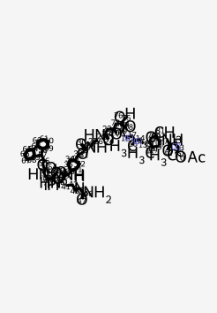 CC(=O)O[C@@H](C)/C=C\C(=O)N[C@@H]1C[C@H](C)[C@H](C/C=C(C)/C=C/[C@H]2OC(CC(=O)NCCNC(=O)OCc3ccc(NC(=O)[C@H](CCCNC(N)=O)NC(=O)[C@@H](NC(=O)OCC4c5ccccc5-c5ccccc54)C(C)C)cc3)C[C@@]3(CO3)[C@@H]2O)O[C@@H]1C